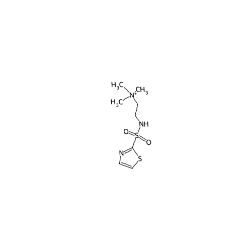 C[N+](C)(C)CCNS(=O)(=O)c1nccs1